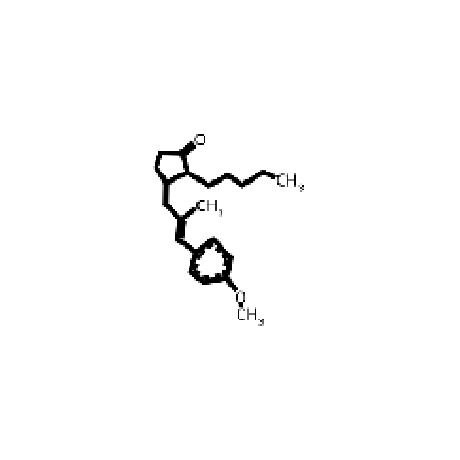 CCCCCC1C(=O)CCC1C/C(C)=C/c1ccc(OC)cc1